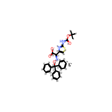 CC(C)(C)OC(=O)Nc1nc(/C(=N/OC(c2ccccc2)(c2ccccc2)c2ccccc2)C(=O)[O-])cs1.[K+]